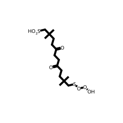 CC(C)(CCC(=O)CCC(=O)CCC(C)(C)CS(=O)(=O)O)CSOOO